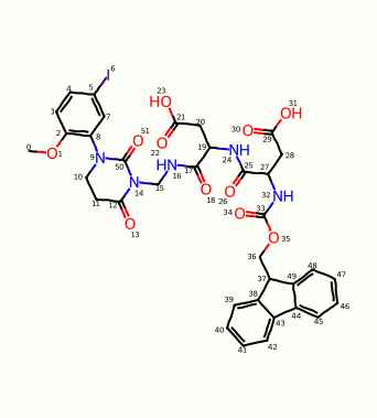 COc1ccc(I)cc1N1CCC(=O)N(CNC(=O)C(CC(=O)O)NC(=O)C(CC(=O)O)NC(=O)OCC2c3ccccc3-c3ccccc32)C1=O